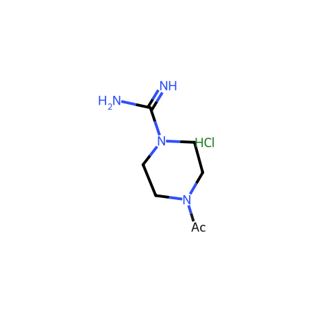 CC(=O)N1CCN(C(=N)N)CC1.Cl